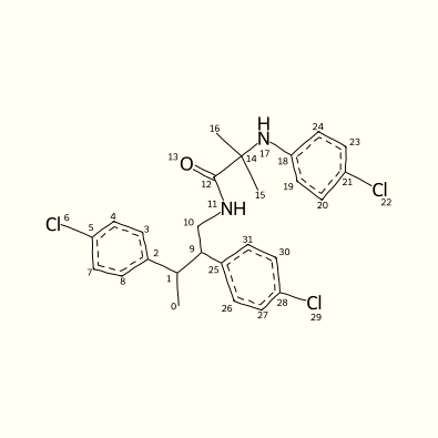 CC(c1ccc(Cl)cc1)C(CNC(=O)C(C)(C)Nc1ccc(Cl)cc1)c1ccc(Cl)cc1